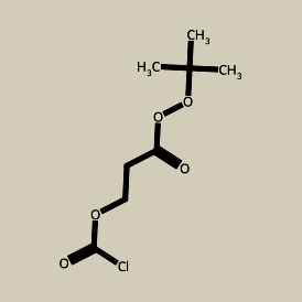 CC(C)(C)OOC(=O)CCOC(=O)Cl